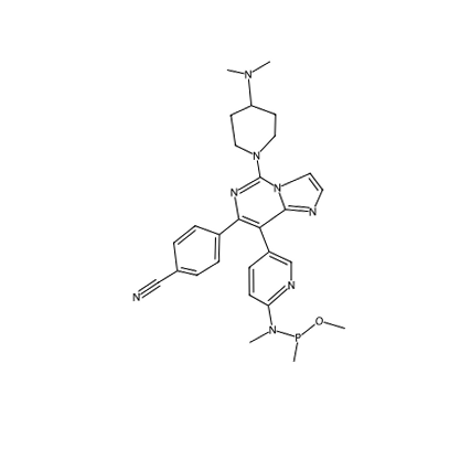 COP(C)N(C)c1ccc(-c2c(-c3ccc(C#N)cc3)nc(N3CCC(N(C)C)CC3)n3ccnc23)cn1